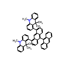 CN1c2ccccc2C(C)(C)c2c(-c3cccc4c(-c5c6ccccc6cc6ccccc56)c5cccc(-c6cccc7c6C(C)(C)c6ccccc6N7C)c5cc34)cccc21